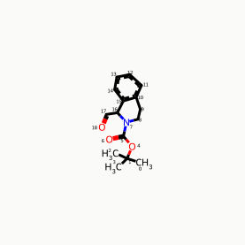 CC(C)(C)OC(=O)N1CCc2ccccc2C1C=O